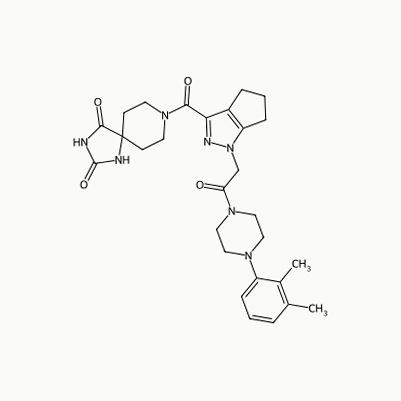 Cc1cccc(N2CCN(C(=O)Cn3nc(C(=O)N4CCC5(CC4)NC(=O)NC5=O)c4c3CCC4)CC2)c1C